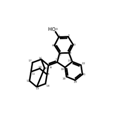 Oc1ccc2c(c1)C(=C1C3CC4CC(C3)CC1C4)c1ccccc1-2